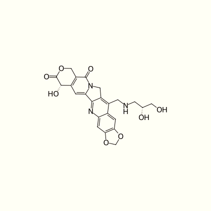 O=C1OCc2c(cc3n(c2=O)Cc2c-3nc3cc4c(cc3c2CNC[C@@H](O)CO)OCO4)[C@@H]1O